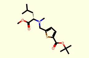 COC(=O)[C@H](CC(C)C)N(C)Cc1ccc(C(=O)OC(C)(C)C)s1